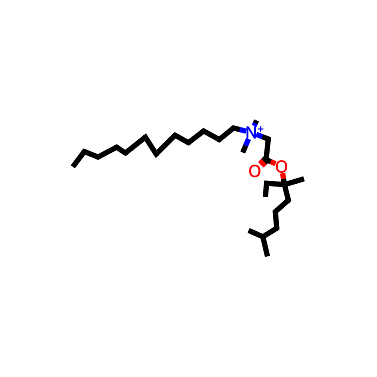 CCCCCCCCCCCC[N+](C)(C)CC(=O)OC(C)(CC)CCCC(C)C